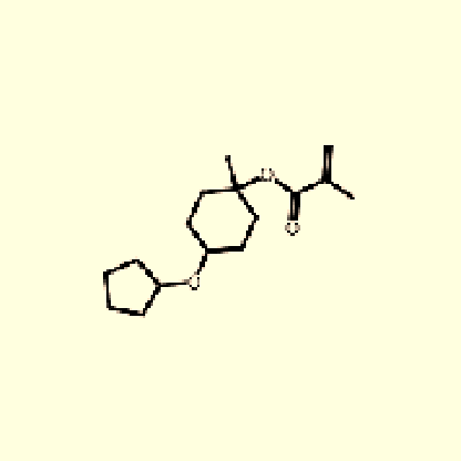 C=C(C)C(=O)OC1(C)CCC(OC2CCCC2)CC1